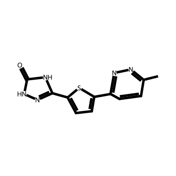 Cc1ccc(-c2ccc(-c3n[nH]c(=O)[nH]3)s2)nn1